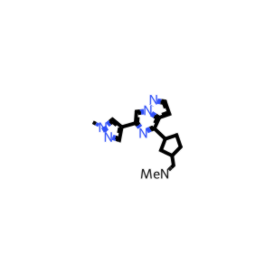 CNCC1CCC(c2nc(-c3cnn(C)c3)cn3nccc23)C1